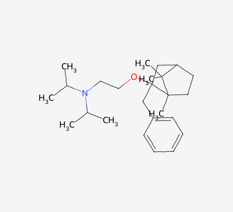 CC(C)N(CCOC1(Cc2ccccc2)CC2CCC1(C)C2(C)C)C(C)C